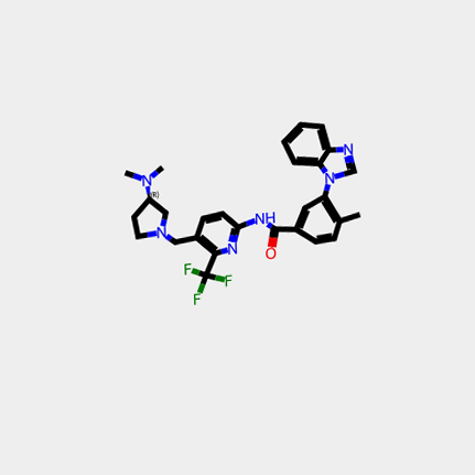 Cc1ccc(C(=O)Nc2ccc(CN3CC[C@@H](N(C)C)C3)c(C(F)(F)F)n2)cc1-n1cnc2ccccc21